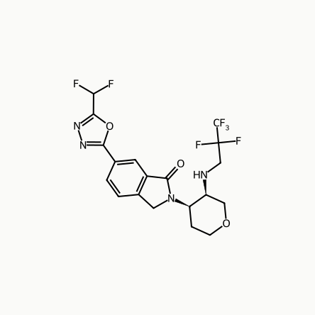 O=C1c2cc(-c3nnc(C(F)F)o3)ccc2CN1[C@@H]1CCOC[C@@H]1NCC(F)(F)C(F)(F)F